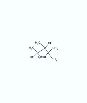 CC(C)(C)C(C)(C)C(C)(O)C(C)(C)O